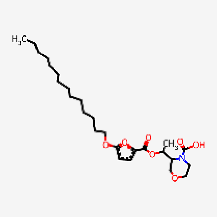 CCCCCCCCCCCCCCOc1ccc(C(=O)OC(C)C2COCCN2C(=O)O)o1